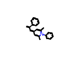 C=C(C=C1C=C(C)N(c2ccccc2)C(C)=C1)c1ccccc1